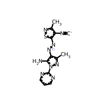 [C-]#[N+]c1c(C)nsc1/N=N/c1c(C)nn(-c2ncccn2)c1N